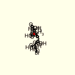 C[C@]12C=CC(=O)C=C1[C@@H](F)C[C@H]1[C@@H]3C[C@H]4O[C@@H](c5ccc(Cc6ccc(NC(=O)[C@H](CCC(=O)O)NC(=O)CNC(=O)CBr)c(CO)c6)cc5)O[C@@]4(C(=O)COP(=O)(O)O)[C@@]3(C)C[C@H](O)[C@@]12F